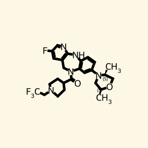 C[C@H]1CN(c2ccc3c(c2)N(C(=O)C2CCN(CC(F)(F)F)CC2)Cc2cc(F)cnc2N3)[C@@H](C)CO1